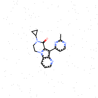 Cc1nccc(-c2c3n(c4cccnc24)CCN(C2CC2)C3=O)n1